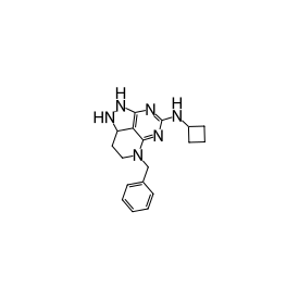 c1ccc(CN2CCC3NNc4nc(NC5CCC5)nc2c43)cc1